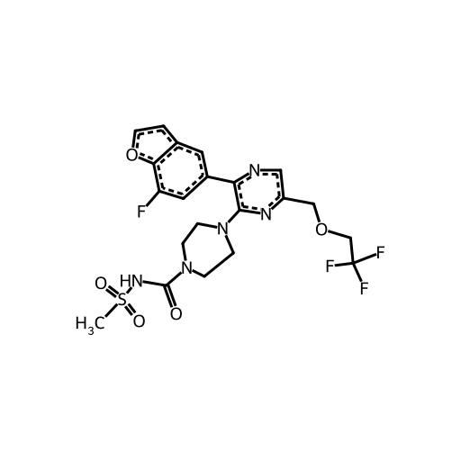 CS(=O)(=O)NC(=O)N1CCN(c2nc(COCC(F)(F)F)cnc2-c2cc(F)c3occc3c2)CC1